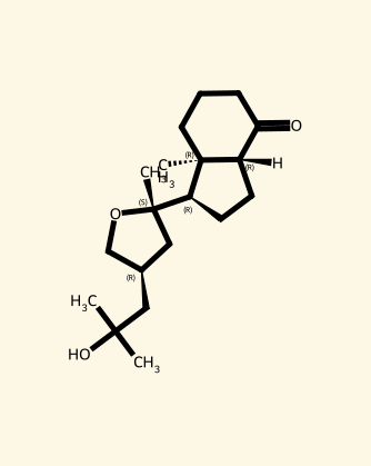 CC(C)(O)C[C@H]1CO[C@](C)([C@@H]2CC[C@H]3C(=O)CCC[C@]23C)C1